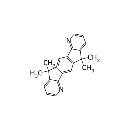 CC1(C)c2cc3c(cc2-c2ncccc21)C(C)(C)c1cccnc1-3